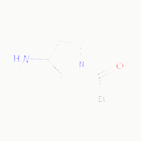 CCC(=O)N1CCC(N)C1